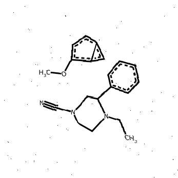 CCN1CCN(C#N)CC1c1ccccc1.COc1ccc2cc1-2